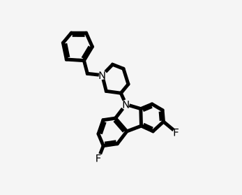 Fc1ccc2c(c1)c1cc(F)ccc1n2C1CCCN(Cc2ccccc2)C1